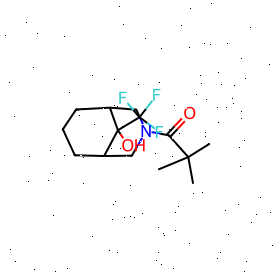 CC(C)(C)C(=O)N1CC2CCCC(C1)C2(O)C(F)(F)F